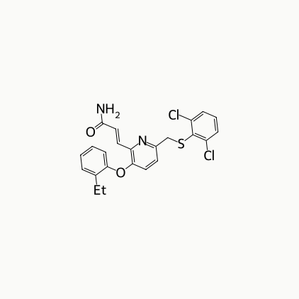 CCc1ccccc1Oc1ccc(CSc2c(Cl)cccc2Cl)nc1C=CC(N)=O